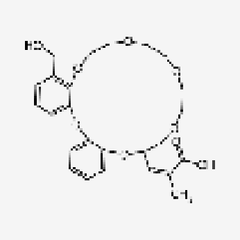 CC(=CC1COCCOCCOCCOc2c(CO)cccc2Oc2ccccc2O1)C(=O)O